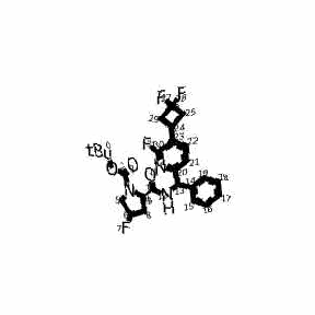 CC(C)(C)OC(=O)N1CC(F)C[C@@H]1C(=O)NC(c1ccccc1)c1ccc(C2CC(F)(F)C2)c(F)n1